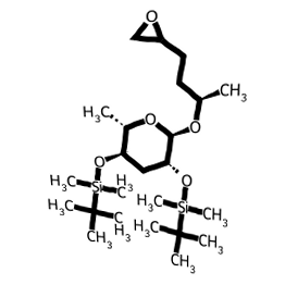 C[C@H](CCC1CO1)O[C@@H]1O[C@@H](C)[C@H](O[Si](C)(C)C(C)(C)C)C[C@H]1O[Si](C)(C)C(C)(C)C